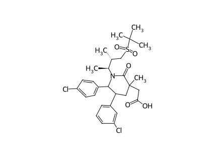 C[C@H](CS(=O)(=O)C(C)(C)C)[C@H](C)N1C(=O)C(C)(CC(=O)O)CC(c2cccc(Cl)c2)C1c1ccc(Cl)cc1